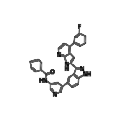 O=C(Nc1cncc(-c2ccc3[nH]nc(-c4cc5c(-c6cccc(F)c6)ccnc5[nH]4)c3c2)c1)c1ccccc1